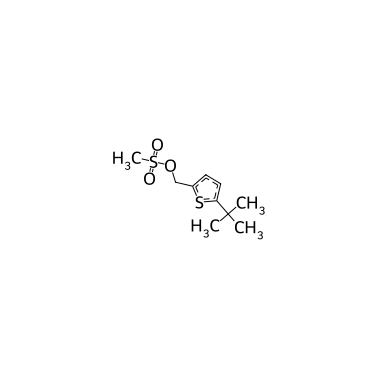 CC(C)(C)c1ccc(COS(C)(=O)=O)s1